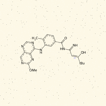 COc1ncc2ncnc(Nc3cc(C(=O)NC(=N)/C=C(\O)C(C)(C)C)ccc3C)c2n1